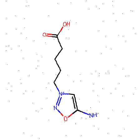 [NH-]c1c[n+](CCCCC(=O)O)no1